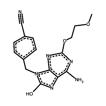 COCCOc1nc(N)c2nc(O)n(Cc3ccc(C#N)cc3)c2n1